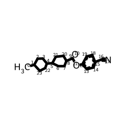 CC1CCC(C2CCC(C(=O)Oc3ccc(C#N)cc3)CC2)CC1